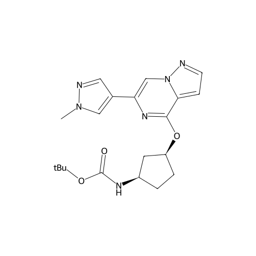 Cn1cc(-c2cn3nccc3c(O[C@H]3CC[C@@H](NC(=O)OC(C)(C)C)C3)n2)cn1